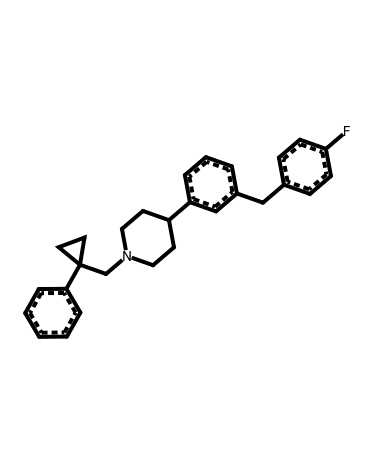 Fc1ccc(Cc2cccc(C3CCN(CC4(c5ccccc5)CC4)CC3)c2)cc1